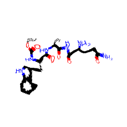 CC(C)[C@H](NC(=O)[C@H](Cc1c[nH]c2ccccc12)NC(=O)OC(C)(C)C)C(=O)NC(=O)C(N)CCC(N)=O